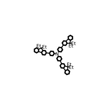 CCC1(CC)c2ccccc2-c2ccc(-c3ccc(N(c4ccc(-c5ccc6c(c5)C(CC)(CC)c5ccccc5-6)cc4)c4ccc(-c5ccc6c(c5)C(CC)(CC)c5ccccc5-6)cc4)cc3)cc21